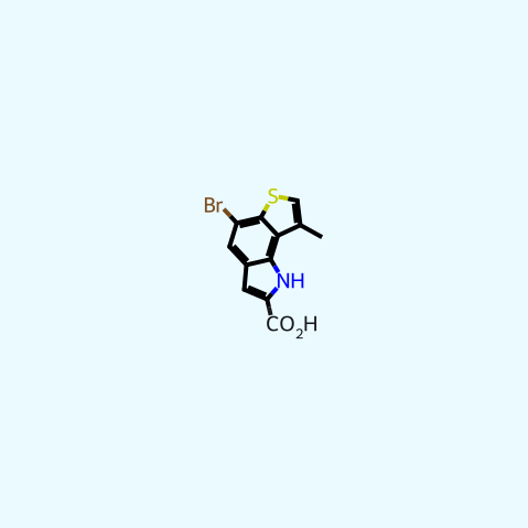 Cc1csc2c(Br)cc3cc(C(=O)O)[nH]c3c12